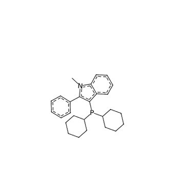 Cn1c(-c2ccccc2)c(P(C2CCCCC2)C2CCCCC2)c2ccccc21